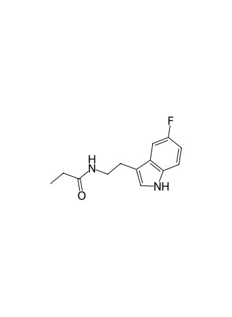 CCC(=O)NCCc1c[nH]c2ccc(F)cc12